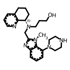 Cn1c(CN(CCCO)[C@H]2CCCc3cccnc32)nc2cccc(N3CCNCC3)c21